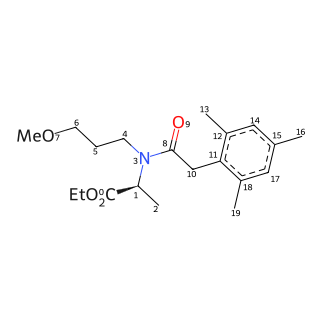 CCOC(=O)[C@H](C)N(CCCOC)C(=O)Cc1c(C)cc(C)cc1C